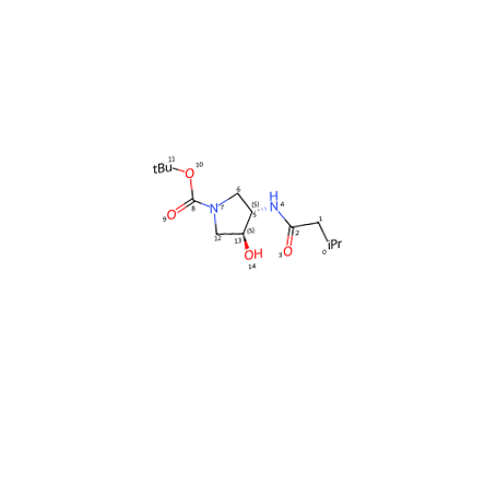 CC(C)CC(=O)N[C@H]1CN(C(=O)OC(C)(C)C)C[C@@H]1O